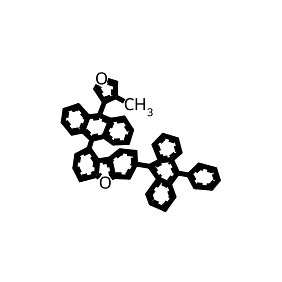 Cc1cocc1-c1c2ccccc2c(-c2cccc3oc4cc(-c5c6ccccc6c(-c6ccccc6)c6ccccc56)ccc4c23)c2ccccc12